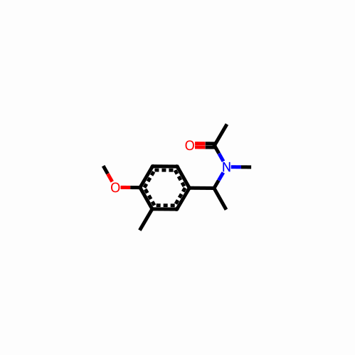 COc1ccc(C(C)N(C)C(C)=O)cc1C